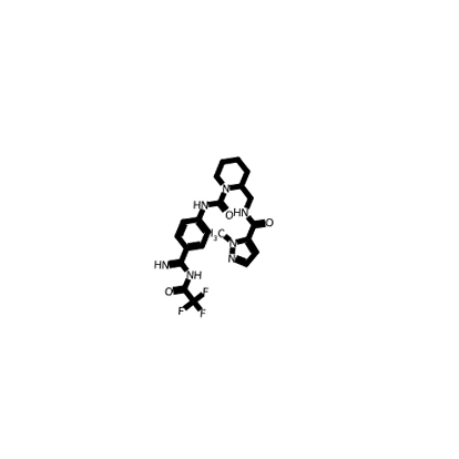 Cn1nccc1C(=O)NCC1CCCCN1C(=O)Nc1ccc(C(=N)NC(=O)C(F)(F)F)cc1